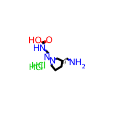 Cl.Cl.NC[C@@H]1CCCN(N=CNC(=O)O)C1